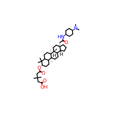 CN(C)[C@H]1CC[C@@H](NC(=O)C[C@]23CCC[C@@H]2[C@H]2CCC4[C@@]5(C)CC[C@H](OC(=O)CC(C)(C)CC(=O)O)C(C)(C)C5CC[C@@]4(C)[C@]2(C)CC3)CC1